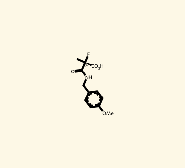 COc1ccc(CNC(=O)[C@](C)(F)C(=O)O)cc1